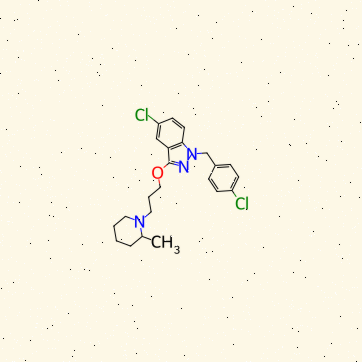 CC1CCCCN1CCCOc1nn(Cc2ccc(Cl)cc2)c2ccc(Cl)cc12